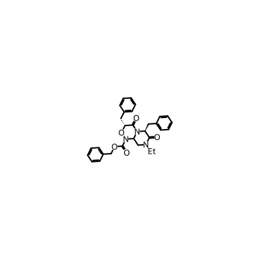 CCN1CC2N(C(=O)OCc3ccccc3)O[C@H](Cc3ccccc3)C(=O)N2[C@@H](Cc2ccccc2)C1=O